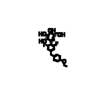 CCOc1ccc(Cc2cc(F)c([C@@H]3S[C@H](CO)[C@@H](O)[C@H](O)[C@H]3O)c(F)c2)cc1